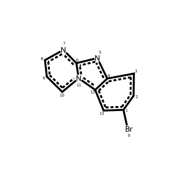 Brc1ccc2nc3ncccn3c2c1